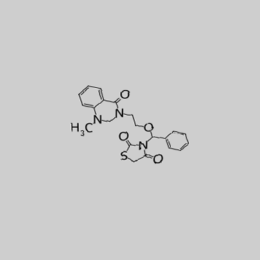 CN1CN(CCOC(c2ccccc2)N2C(=O)CSC2=O)C(=O)c2ccccc21